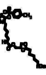 CCCCCCCCCCCCCCCC1OCC(COC(=O)NCCCCCN2C=CSC2OS(=O)(=O)c2ccc(C)cc2)O1